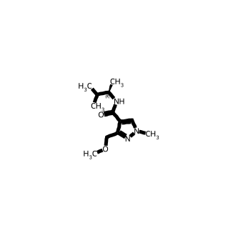 COCc1nn(C)cc1C(=O)N[C@H](C)C(C)C